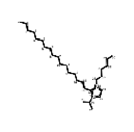 CCCCCCCCCCCCCCCCCc1n(C(C)C)cc[n+]1CCCCCC